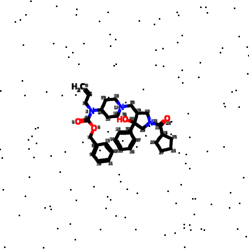 C=CCN(C(=O)OCc1ccccc1)C1CCN(CC2CN(C(=O)C3CCCC3)CC2(O)c2ccccc2)CC1